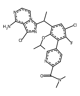 CC(C)Oc1c(C(C)c2nc(Cl)c3c(N)nccn23)cc(Cl)c(F)c1-c1ccc(C(=O)N(C)C)nc1